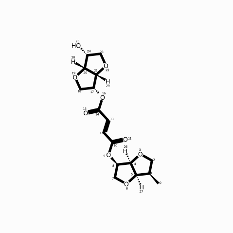 C[C@@H]1CO[C@H]2[C@@H]1OC[C@H]2OC(=O)C=CC(=O)O[C@@H]1CO[C@H]2[C@@H]1OC[C@H]2O